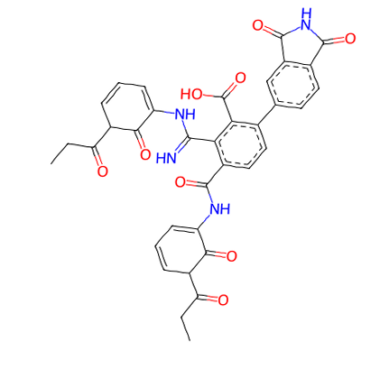 CCC(=O)C1C=CC=C(NC(=N)c2c(C(=O)NC3=CC=CC(C(=O)CC)C3=O)ccc(-c3ccc4c(c3)C(=O)NC4=O)c2C(=O)O)C1=O